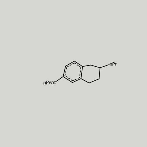 CCCCCc1ccc2c(c1)CCC(CCC)C2